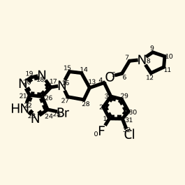 Fc1cc(C(OCCN2CCCC2)C2CCN(c3ncnc4[nH]nc(Br)c34)CC2)ccc1Cl